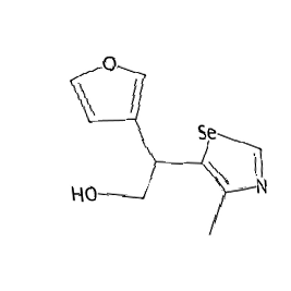 Cc1nc[se]c1C(CO)c1ccoc1